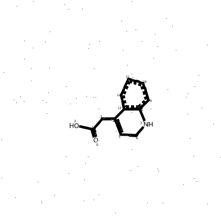 O=C(O)CC1=CCNc2ccccc21